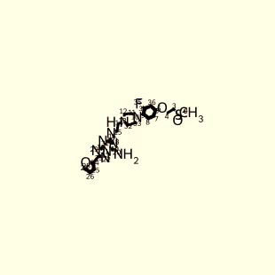 C[S@+]([O-])CCOc1ccc(N2CCN(CCNc3nc(N)n4nc(-c5ccco5)nc4n3)CC2)c(F)c1